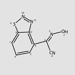 N#CC(=NO)c1cccc2snnc12